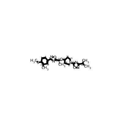 CSc1ccc(-c2noc([C@@H](C)OC3CCN(c4nc(C(C)C)no4)CC3)n2)cc1C